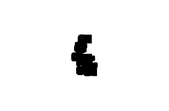 CCN(CC)C(C(=O)O)C(C)NC(=O)c1ccc(O)cc1